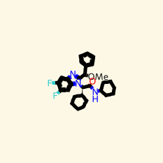 COC(c1ccccc1)c1nc2cc(F)c(F)cc2n1[C@H](C(=O)NC1CCCCC1)C1CCCCC1